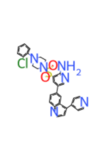 Nc1ncc(-c2ccc3nccc(-c4ccncc4)c3c2)cc1S(=O)(=O)N1CCN(c2ccccc2Cl)CC1